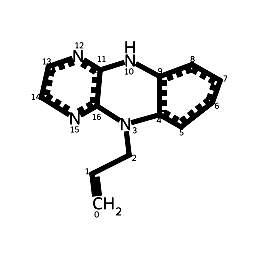 C=CCN1c2ccccc2Nc2nccnc21